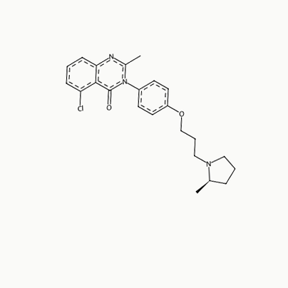 Cc1nc2cccc(Cl)c2c(=O)n1-c1ccc(OCCCN2CCC[C@H]2C)cc1